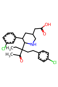 CCC(CCc1ccc(Cl)cc1)(C(C)=O)C1NCC(CC(=O)O)CC1c1cccc(Cl)c1